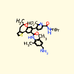 CCCNC(=O)c1ccc(-c2cc3c(cc2C(=O)Nc2c(C)cc(CN)cc2C)-c2sccc2C[C@H](C)O3)c(C(=O)O)n1